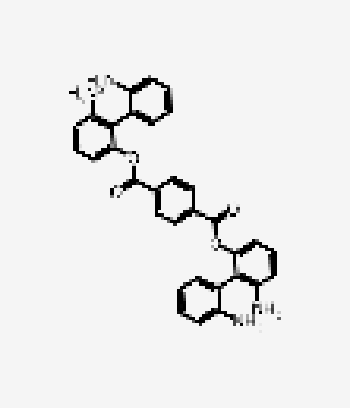 Nc1ccccc1-c1c(N)cccc1OC(=O)c1ccc(C(=O)Oc2cccc(N)c2-c2ccccc2N)cc1